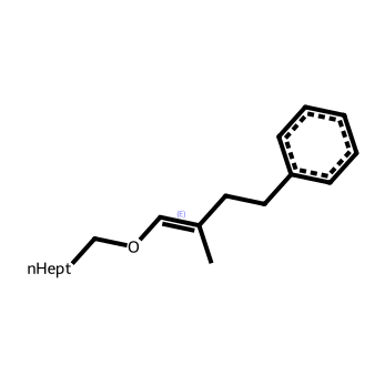 CCCCCCCCO/C=C(\C)CCc1ccccc1